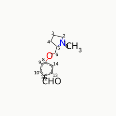 CN1CCCC1COc1ccc(C=O)cc1